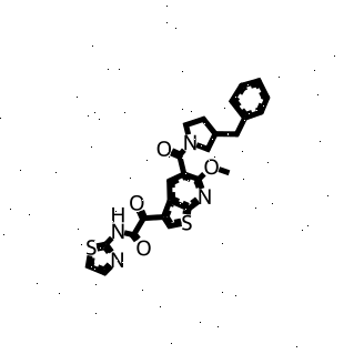 COc1nc2scc(C(=O)C(=O)Nc3nccs3)c2cc1C(=O)N1CCC(Cc2ccccc2)C1